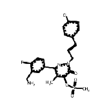 Cc1c(-c2ccc(F)c(CN)c2)nn(CC=Cc2ccc(Cl)cc2)c(=O)c1OS(C)(=O)=O